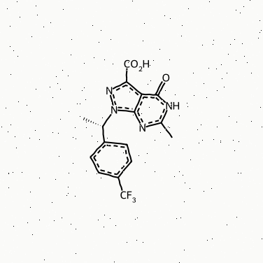 Cc1nc2c(c(C(=O)O)nn2[C@@H](C)c2ccc(C(F)(F)F)cc2)c(=O)[nH]1